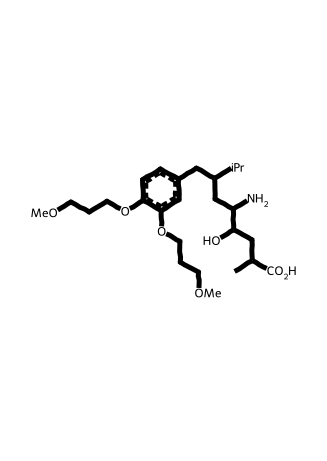 COCCCOc1ccc(CC(CC(N)C(O)CC(C)C(=O)O)C(C)C)cc1OCCCOC